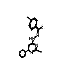 CC/C(=N/Nc1cc(-c2ccccc2)nc(C)n1)c1ccc(C)cc1